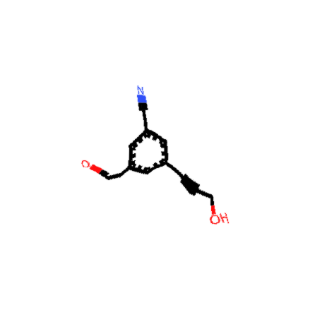 N#Cc1cc(C#CCO)cc(C=O)c1